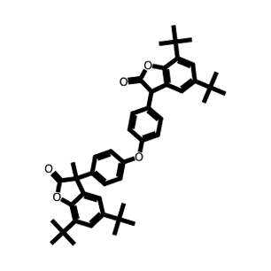 CC(C)(C)c1cc2c(c(C(C)(C)C)c1)OC(=O)C2c1ccc(Oc2ccc(C3(C)C(=O)Oc4c(C(C)(C)C)cc(C(C)(C)C)cc43)cc2)cc1